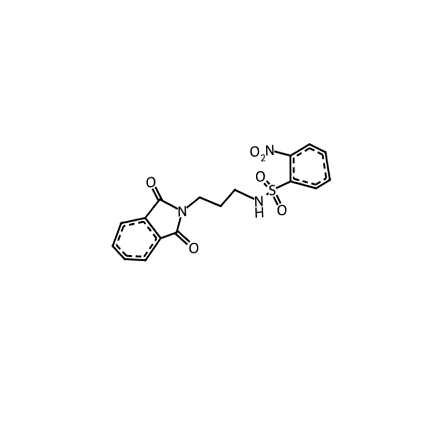 O=C1c2ccccc2C(=O)N1CCCNS(=O)(=O)c1ccccc1[N+](=O)[O-]